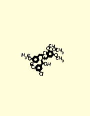 COc1ccc(C[C@@H](C)N(Cc2cc(OC)c(OC)c(OC)c2)CC(O)c2cccc(Cl)c2)cc1OC